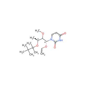 C=CO[C@H](C(OC)[C@H](C)O[Si](C)(C)C(C)(C)C)n1ccc(=O)[nH]c1=O